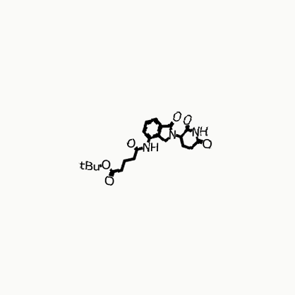 CC(C)(C)OC(=O)CCCC(=O)Nc1cccc2c1CN(C1CCC(=O)NC1=O)C2=O